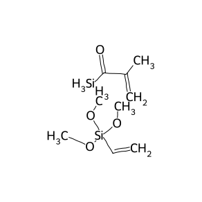 C=C(C)C(=O)[SiH3].C=C[Si](OC)(OC)OC